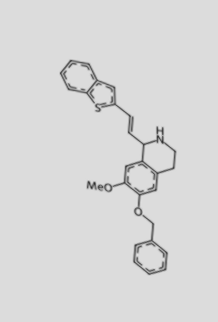 COc1cc2c(cc1OCc1ccccc1)CCNC2C=Cc1cc2ccccc2s1